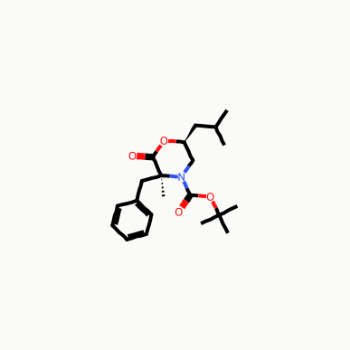 CC(C)C[C@H]1CN(C(=O)OC(C)(C)C)[C@@](C)(Cc2ccccc2)C(=O)O1